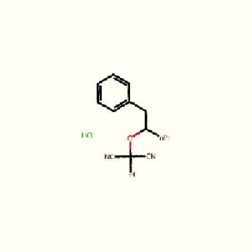 CCCC(Cc1ccccc1)OC(C#N)(C#N)CC.Cl